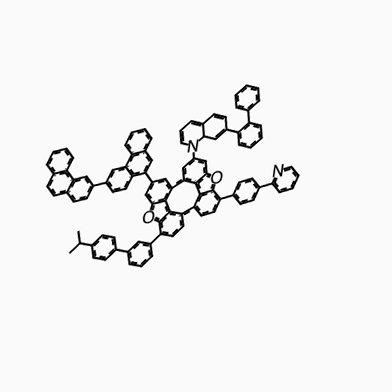 CC(C)c1ccc(-c2cccc(-c3ccc4c5ccc(-c6ccc(-c7ccccn7)cc6)c6oc7cc(N8C=CC=C9C=CC(c%10ccccc%10-c%10ccccc%10)=CC98)cc(c8cc(-c9cc%10ccccc%10c%10cc(-c%11ccc%12ccc%13ccccc%13c%12c%11)ccc9%10)cc9oc3c4c98)c7c65)c2)cc1